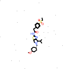 CCS(=O)(=O)c1ccc(CC(=O)Nc2nc3c(s2)CN(C[C@H]2CC[C@H](OC)CC2)C3C(C)C)cc1